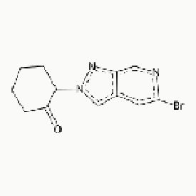 O=C1CCCCC1n1cc2cc(Br)ncc2n1